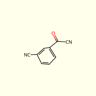 N#CC(=O)c1cccc(C#N)c1